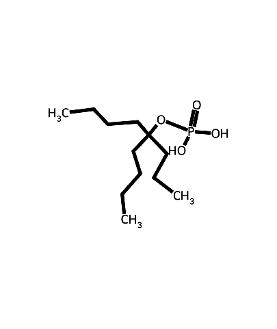 CCCCC(CCC)(CCCC)OP(=O)(O)O